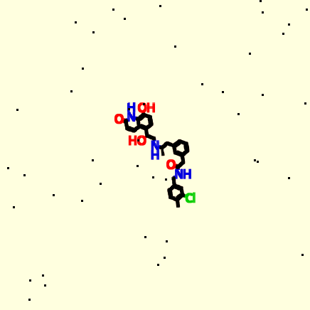 Cc1ccc(CNC(=O)Cc2cccc(C[C@@H](C)NC[C@H](O)c3ccc(O)c4[nH]c(=O)ccc34)c2)cc1Cl